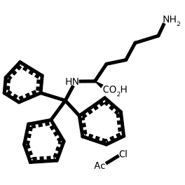 CC(=O)Cl.NCCCC[C@H](NC(c1ccccc1)(c1ccccc1)c1ccccc1)C(=O)O